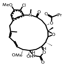 COc1cc2cc(c1Cl)N(C)C(=O)C[C@H](OC(=O)C(C)C)[C@]1(C)OC1[C@H](C)[C@@H]1C[C@@](O)(NC(=O)O1)[C@H](OC)/C=C/C=C(\C)C2